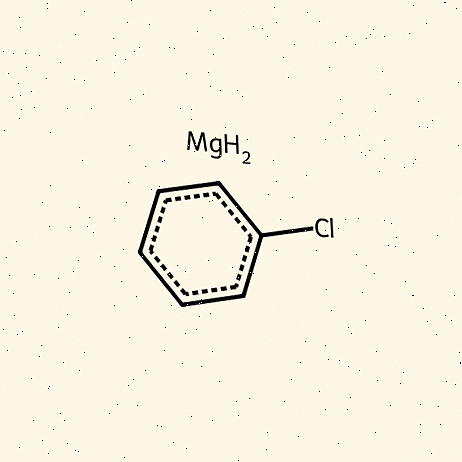 Clc1ccccc1.[MgH2]